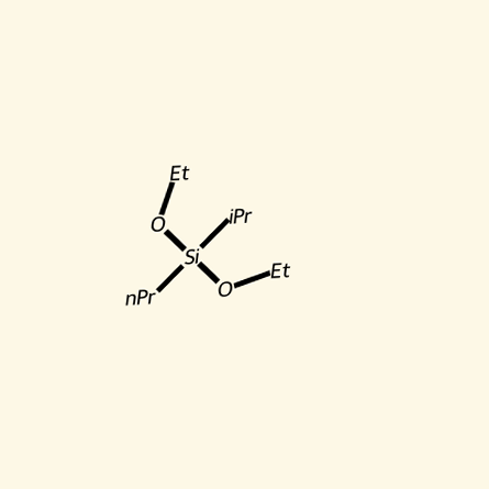 CCC[Si](OCC)(OCC)C(C)C